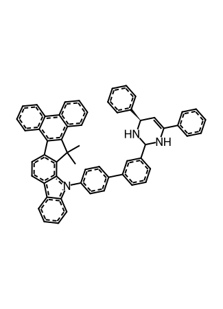 CC1(C)c2c(c3ccccc3c3ccccc23)-c2ccc3c4ccccc4n(-c4ccc(-c5cccc(C6NC(c7ccccc7)=C[C@H](c7ccccc7)N6)c5)cc4)c3c21